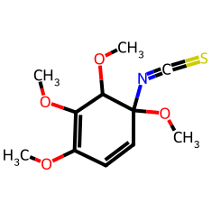 COC1=C(OC)C(OC)C(N=C=S)(OC)C=C1